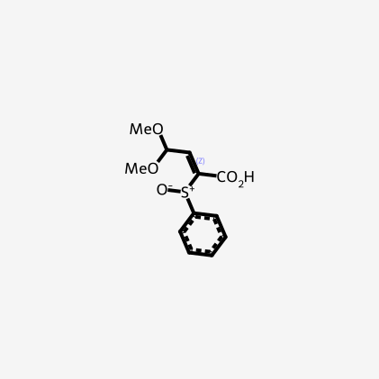 COC(/C=C(/C(=O)O)[S+]([O-])c1ccccc1)OC